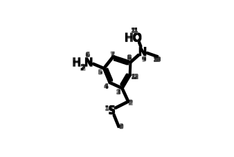 CSCc1cc(N)cc(N(C)O)c1